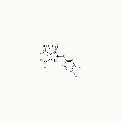 CC1CCC(C(=O)O)n2c1nn(Cc1ccc(F)c(Cl)c1)c2=O